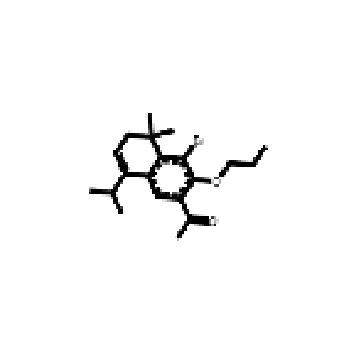 CCCOc1c(C(C)=O)cc2c(c1Br)C(C)(C)CC=C2C(C)C